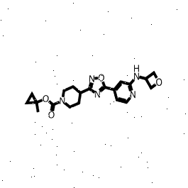 CC1(OC(=O)N2CCC(c3noc(-c4ccnc(NC5COC5)c4)n3)CC2)CC1